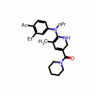 CCCN(C1=C(C)C=C(C(=O)N2CCCCC2)CN1)c1ccc(C(C)=O)c(CC)c1